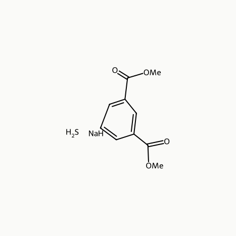 COC(=O)c1cccc(C(=O)OC)c1.S.[NaH]